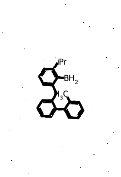 Bc1c(Cc2ccccc2-c2ccccc2C)cccc1C(C)C